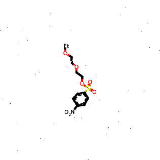 CCOCCOCCOS(=O)(=O)c1ccc([N+](=O)[O-])cc1